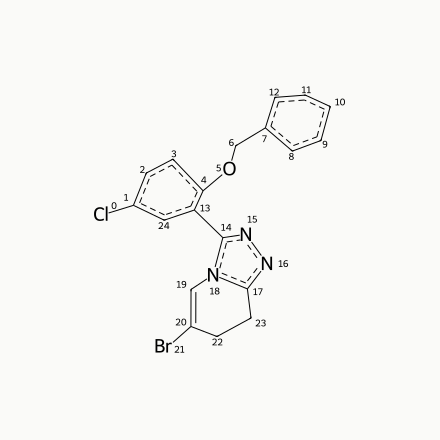 Clc1ccc(OCc2ccccc2)c(-c2nnc3n2C=C(Br)CC3)c1